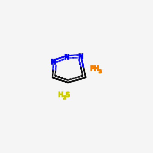 P.S.c1cnnnc1